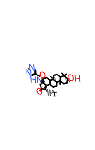 CC(C)C1=C2C3CCC4C5(C)CC[C@H](O)C(C)(C)C5CC[C@@]4(C)C3CC[C@@]2(NC(=O)c2cncnc2)CC1=O